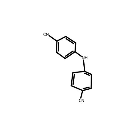 [C-]#[N+]c1ccc(Nc2ccc(C#N)cc2)cc1